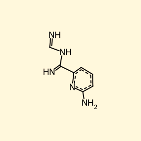 N=CNC(=N)c1cccc(N)n1